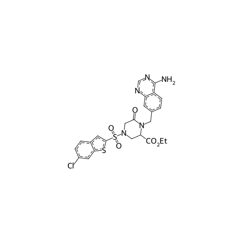 CCOC(=O)C1CN(S(=O)(=O)c2cc3ccc(Cl)cc3s2)CC(=O)N1Cc1ccc2c(N)ncnc2c1